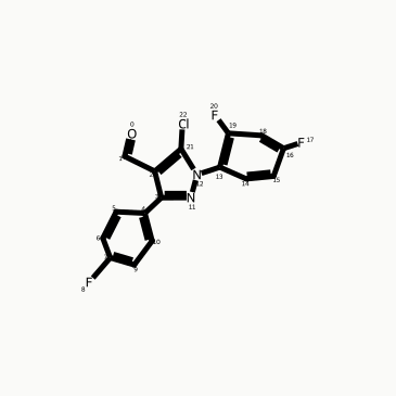 O=Cc1c(-c2ccc(F)cc2)nn(-c2ccc(F)cc2F)c1Cl